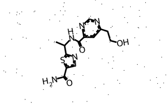 CC(NC(=O)c1cc(CCO)ncn1)c1ncc(C(N)=O)s1